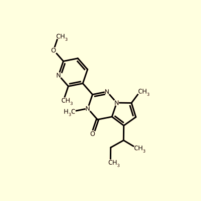 CCC(C)c1cc(C)n2nc(-c3ccc(OC)nc3C)n(C)c(=O)c12